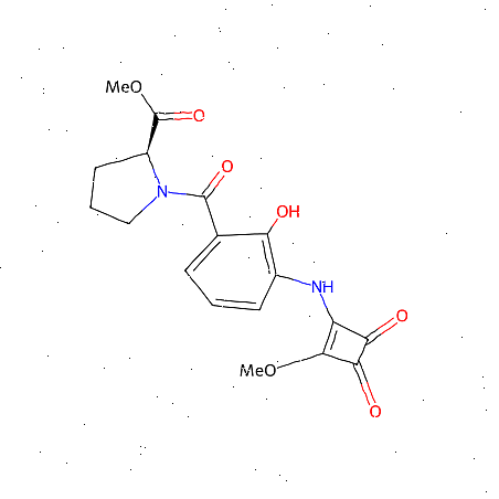 COC(=O)[C@@H]1CCCN1C(=O)c1cccc(Nc2c(OC)c(=O)c2=O)c1O